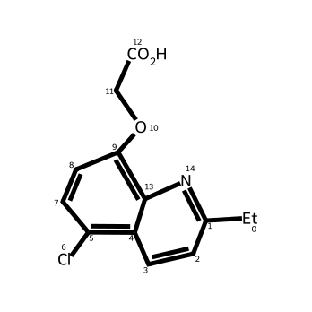 CCc1ccc2c(Cl)ccc(OCC(=O)O)c2n1